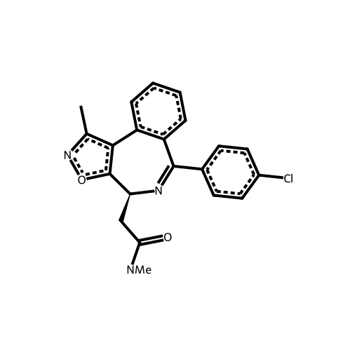 CNC(=O)C[C@@H]1N=C(c2ccc(Cl)cc2)c2ccccc2-c2c(C)noc21